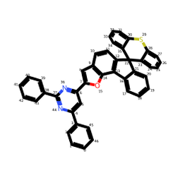 c1ccc(-c2cc(-c3cc4ccc5c(c4o3)-c3ccccc3C53c4ccccc4Sc4ccccc43)nc(-c3ccccc3)n2)cc1